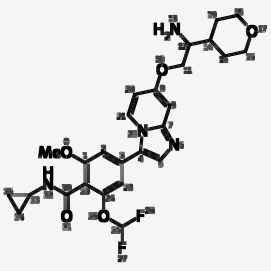 COc1cc(-c2cnc3cc(OCC(N)C4CCOCC4)ccn23)cc(OC(F)F)c1C(=O)NC1CC1